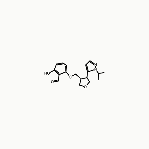 CC(C)n1nccc1C1COC[C@H]1COc1cccc(O)c1C=O